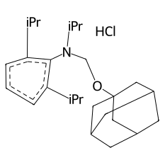 CC(C)c1cccc(C(C)C)c1N(COC12CC3CC(CC(C3)C1)C2)C(C)C.Cl